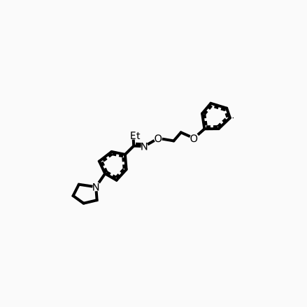 CC/C(=N\OCCOc1c[c]ccc1)c1ccc(N2CCCC2)cc1